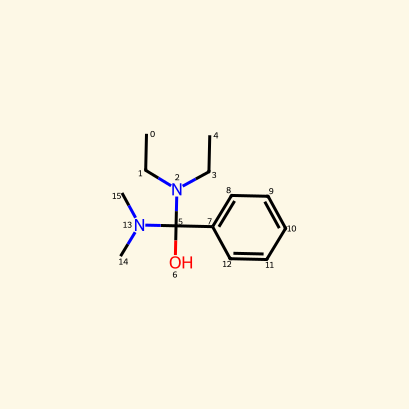 CCN(CC)C(O)(c1ccccc1)N(C)C